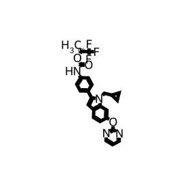 C[C@@H](OC(=O)Nc1ccc(-c2cc3ccc(Oc4ncccn4)cc3n2CC2CC2)cc1)C(F)(F)F